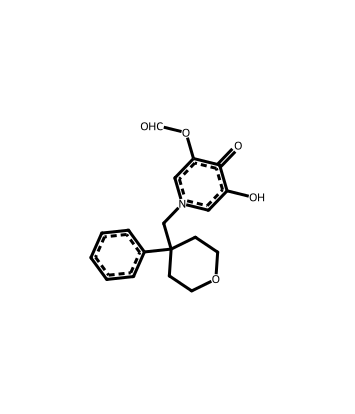 O=COc1cn(CC2(c3ccccc3)CCOCC2)cc(O)c1=O